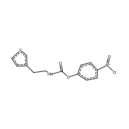 O=C(NCCc1ccsc1)Oc1ccc([N+](=O)[O-])cc1